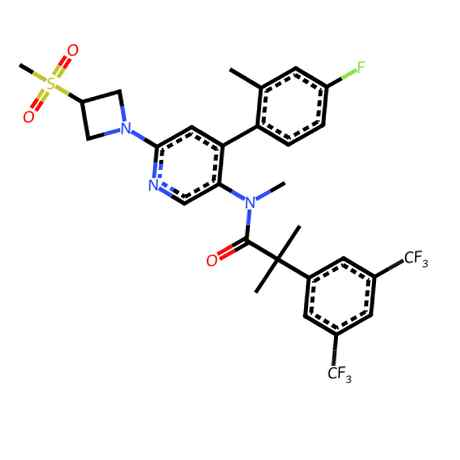 Cc1cc(F)ccc1-c1cc(N2CC(S(C)(=O)=O)C2)ncc1N(C)C(=O)C(C)(C)c1cc(C(F)(F)F)cc(C(F)(F)F)c1